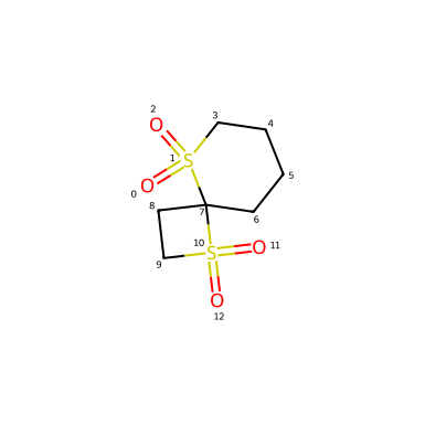 O=S1(=O)CCCCC12CCS2(=O)=O